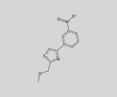 COCc1nc(-c2cccc([N+](=O)[O-])c2)cs1